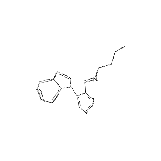 CCCC/N=C/c1ccccc1C1C=Cc2ccccc21